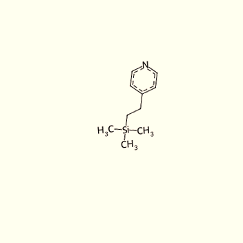 C[Si](C)(C)CCc1ccncc1